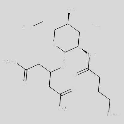 CCCCCCCCCCCCCC(=O)N[C@H]1[C@H](OC(CC(=O)OC)CC(=O)OC)O[C@H](COC(C)=O)[C@@H](OC(C)=O)[C@@H]1OC(C)=O